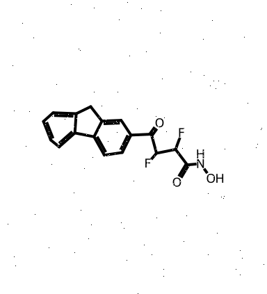 O=C(NO)C(F)C(F)C(=O)c1ccc2c(c1)Cc1ccccc1-2